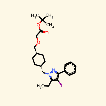 CCc1c(I)c(-c2ccccc2)nn1C[C@H]1CC[C@H](COCC(=O)OC(C)(C)C)CC1